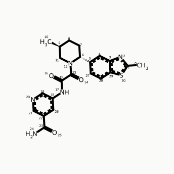 Cc1nc2cc([C@H]3CC[C@H](C)CN3C(=O)C(=O)Nc3cncc(C(N)=O)c3)ccc2s1